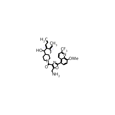 C=C/C=C(\C(F)=C/C)C(O)C1CCN(C(=O)c2nc(-c3ccc(OC)c4nc(C(F)(F)F)ccc34)oc2CN)CC1